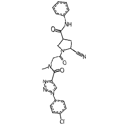 CN(CC(=O)N1CC(C(=O)Nc2ccccc2)CC1C#N)C(=O)c1cn(-c2ccc(Cl)cc2)nn1